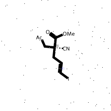 COC(=O)[C@@](C#N)(C/C=C/I)CC(C)=O